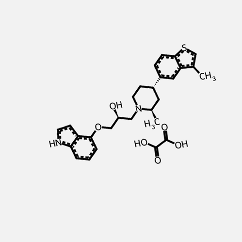 Cc1csc2ccc([C@H]3CCN(C[C@H](O)COc4cccc5[nH]ccc45)[C@H](C)C3)cc12.O=C(O)C(=O)O